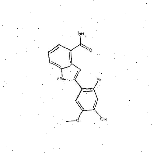 COc1cc(-c2nc3c(C(N)=O)cccc3[nH]2)c(Br)cc1O